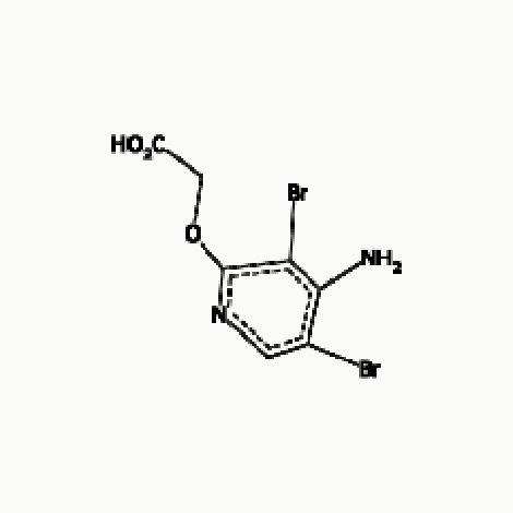 Nc1c(Br)cnc(OCC(=O)O)c1Br